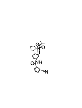 CC(C)S(=O)(=O)N[C@H]1CCC[C@H]1c1ccc(NC(=O)c2cccc(C#N)c2)cc1